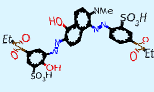 CCS(=O)(=O)c1ccc(/N=N/c2c(NC)ccc3c(O)c(/N=N/c4cc(S(=O)(=O)CC)cc(S(=O)(=O)O)c4O)ccc23)c(S(=O)(=O)O)c1